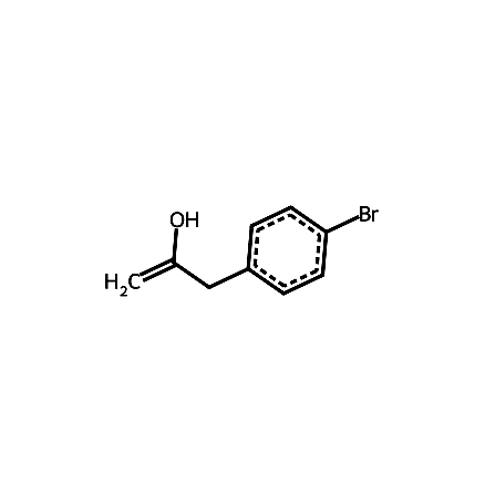 C=C(O)Cc1ccc(Br)cc1